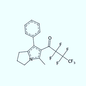 Cc1c(C(=O)C(F)(F)C(F)(F)C(F)(F)F)c(-c2ccccc2)c2n1CCC2